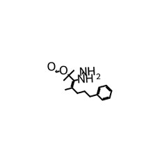 CC(CCCc1ccccc1)=C(NN)C(C)(C)OC=O